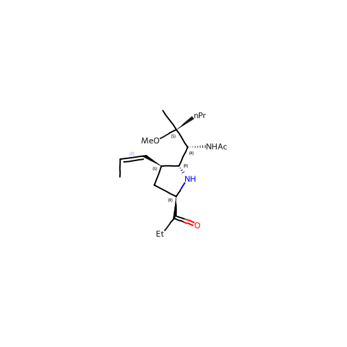 C/C=C\[C@@H]1C[C@H](C(=O)CC)N[C@H]1[C@@H](NC(C)=O)[C@](C)(CCC)OC